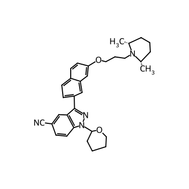 C[C@@H]1CCC[C@H](C)N1CCCOc1ccc2ccc(-c3nn(C4CCCCO4)c4ccc(C#N)cc34)cc2c1